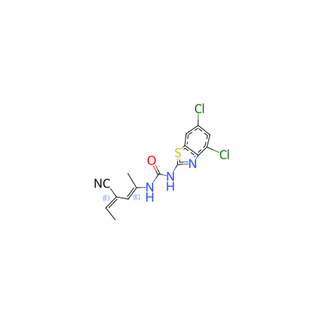 C/C=C(C#N)\C=C(/C)NC(=O)Nc1nc2c(Cl)cc(Cl)cc2s1